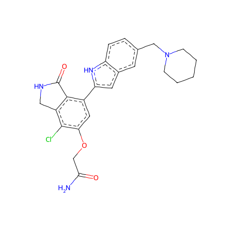 NC(=O)COc1cc(-c2cc3cc(CN4CCCCC4)ccc3[nH]2)c2c(c1Cl)CNC2=O